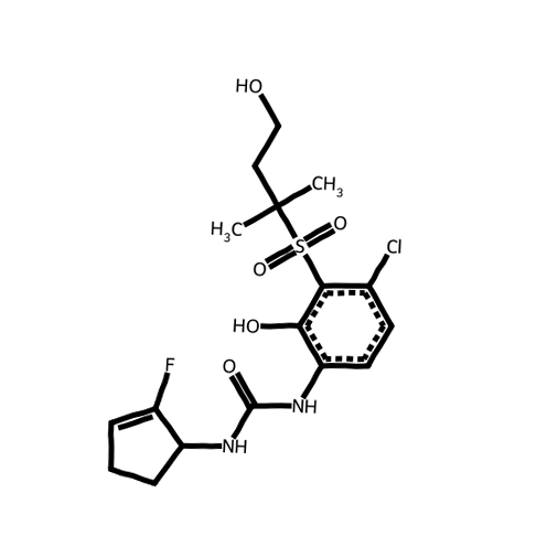 CC(C)(CCO)S(=O)(=O)c1c(Cl)ccc(NC(=O)NC2CCC=C2F)c1O